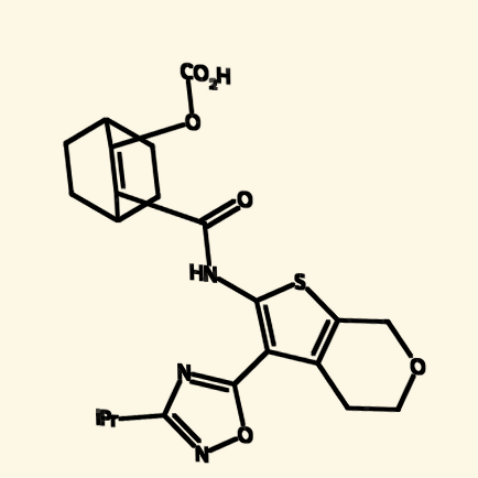 CC(C)c1noc(-c2c(NC(=O)C3=C(OC(=O)O)C4CCC3CC4)sc3c2CCOC3)n1